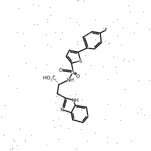 O=C(O)[C@@H](Cc1nc2ccccc2[nH]1)NS(=O)(=O)c1ccc(-c2ccc(F)cc2)s1